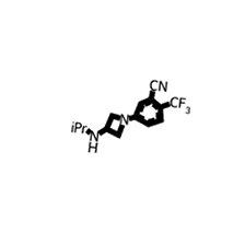 CC(C)NC1CN(c2ccc(C(F)(F)F)c(C#N)c2)C1